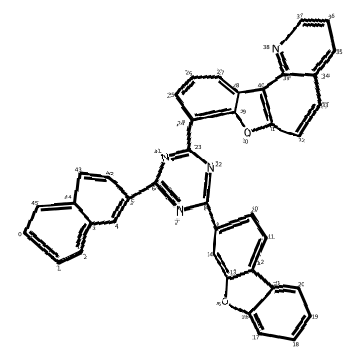 c1ccc2cc(-c3nc(-c4ccc5c(c4)oc4ccccc45)nc(-c4cccc5c4oc4ccc6cccnc6c45)n3)ccc2c1